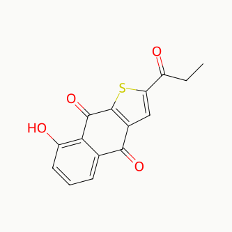 CCC(=O)c1cc2c(s1)C(=O)c1c(O)cccc1C2=O